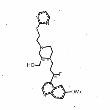 COc1ccc2nccc([C@H](F)CC[C@@H]3CCN(CCSc4ncccn4)C[C@@H]3CO)c2c1